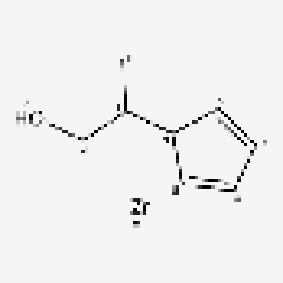 CC(CO)C1C=CC=C1.[Zr]